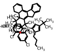 Cl.Cl.[CH2]=[Zr]([C]1=CC(C(C)(C)C)=CC1CCCC)([c]1cccc(Cl)c1)([c]1cccc(Cl)c1)[C]1(C)C2=C3Cc4ccccc4C3=C3C=CCCC3C2(C)C(C)(C)C(C)(C)C1(C)C